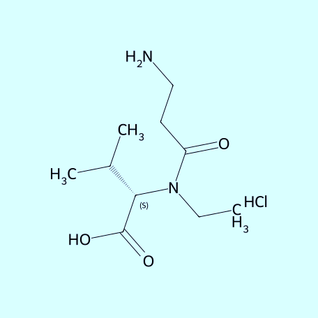 CCN(C(=O)CCN)[C@H](C(=O)O)C(C)C.Cl